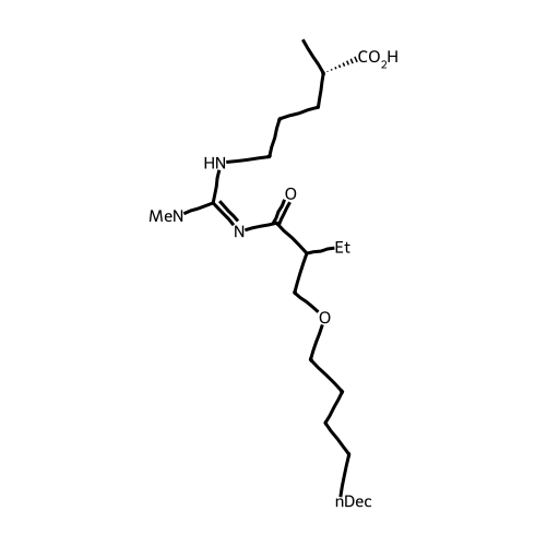 CCCCCCCCCCCCCCOCC(CC)C(=O)/N=C(/NC)NCCC[C@H](C)C(=O)O